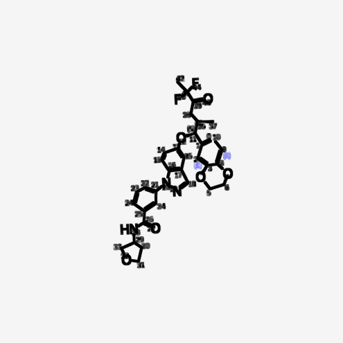 C=C(/C=C1/OCCO/C1=C/C)[C@@H](Oc1ccc2c(cnn2-c2cccc(C(=O)NC3CCOC3)c2)c1)[C@H](C)CC(=O)C(C)(F)F